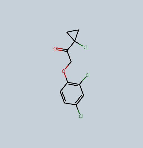 O=C(COc1ccc(Cl)cc1Cl)C1(Cl)CC1